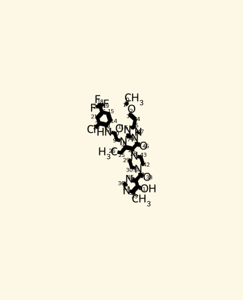 CCO/C=C/c1nc2n(CC(=O)Nc3ccc(C(F)(F)F)cc3Cl)c(CC)c(N3CCN(C(=O)c4ncnc(C)c4O)CC3)c(=O)n2n1